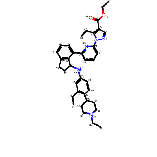 CCOC(=O)c1cnn(-c2cccc(-c3cccc4c3C(Nc3ccc(C5CCN(CC)CC5)c(CC)c3)CC4)n2)c1CC